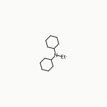 C[CH]N(C1CCCCC1)C1CCCCC1